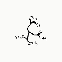 CC(=O)CC(C(=O)O)C(C)C